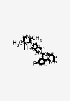 CC1=CN=C(C)C(N2CC3CN(C(=O)c4cc(F)ccc4-c4ncccn4)CC3C2)N1